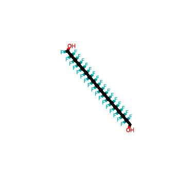 OCC(F)(F)C(F)(F)C(F)(F)C(F)(F)C(F)(F)C(F)(F)C(F)(F)C(F)(F)C(F)(F)C(F)(F)C(F)(F)C(F)(F)C(F)(F)C(F)(F)C(F)(F)C(F)(F)C(O)F